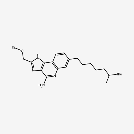 CCOCc1nc2c(N)nc3cc(CCCCCN(C)C(C)(C)C)ccc3c2[nH]1